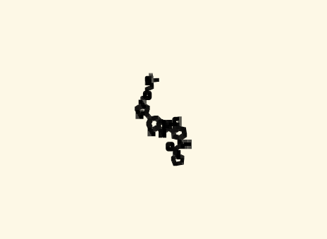 C[Si](C)(C)CCOCn1cnc(-c2cnc3nc(-c4cc(NC(=O)N5CCCC5)ccc4Cl)[nH]c3c2)c1